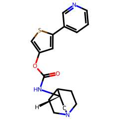 O=C(N[C@H]1CN2CCC1CC2)Oc1csc(-c2cccnc2)c1